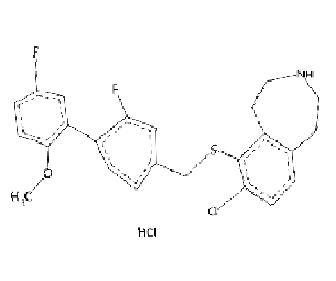 COc1ccc(F)cc1-c1ccc(CSc2c(Cl)ccc3c2CCNCC3)cc1F.Cl